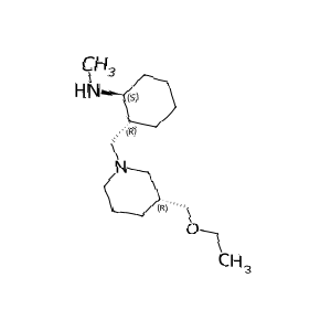 CCOC[C@@H]1CCCN(C[C@H]2CCCC[C@@H]2NC)C1